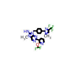 Cn1cc(C(F)(F)F)nc1-c1ccc(Cn2c(=N)n(C)c3cnc(-c4cccnc4OC(F)F)nc32)cc1